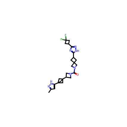 Cc1cc(C23CC(C4CN(C(=O)N5CC6(CC(c7nc(C8CC(F)(F)C8)n[nH]7)C6)C5)C4)(C2)C3)[nH]n1